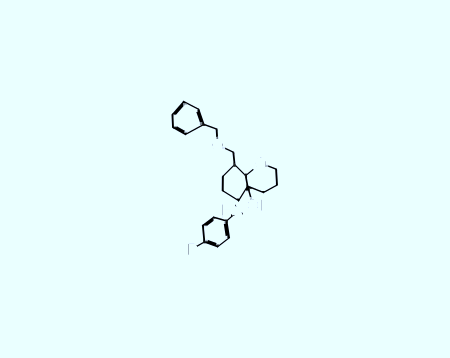 OC12CCCOC1C(COCc1ccccc1)CC[C@H]2Nc1ccc(F)cc1